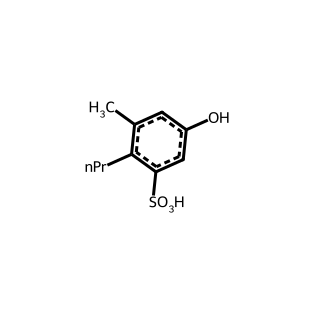 CCCc1c(C)cc(O)cc1S(=O)(=O)O